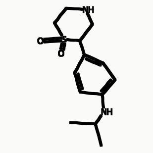 CC(C)Nc1ccc(C2CNCCS2(=O)=O)cc1